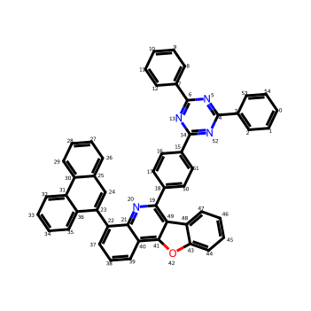 c1ccc(-c2nc(-c3ccccc3)nc(-c3ccc(-c4nc5c(-c6cc7ccccc7c7ccccc67)cccc5c5oc6ccccc6c45)cc3)n2)cc1